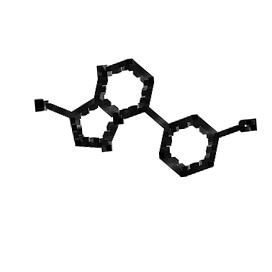 N#Cc1cccc(-c2ccnc3c(Br)cnn23)c1